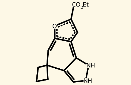 CCOC(=O)c1cc2c(o1)=CC1(CCC1)C1=CNNC=21